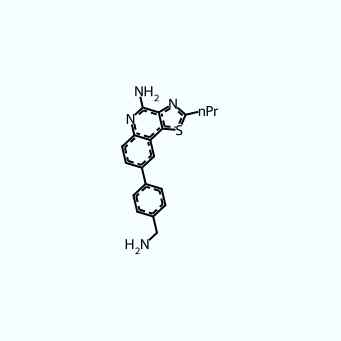 CCCc1nc2c(N)nc3ccc(-c4ccc(CN)cc4)cc3c2s1